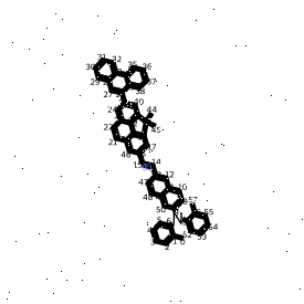 Cc1ccccc1N(c1ccc2cc(/C=C/c3cc4c5c(ccc6cc(-c7cc8ccccc8c8ccccc78)cc(c65)C4(C)C)c3)ccc2c1)c1ccccc1C